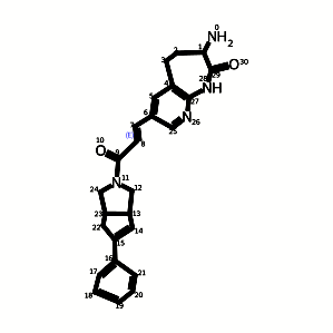 NC1CCc2cc(/C=C/C(=O)N3CC4C=C(c5ccccc5)CC4C3)cnc2NC1=O